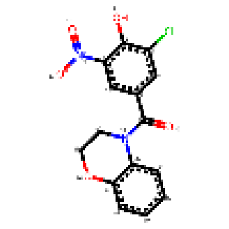 O=C(c1cc(Cl)c(O)c([N+](=O)[O-])c1)N1CCOc2ccccc21